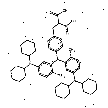 Cc1ccc(N(C2CCCCC2)C2CCCCC2)cc1C(c1ccc(CC(C(=O)O)C(=O)O)cc1)c1cc(N(C2CCCCC2)C2CCCCC2)ccc1C